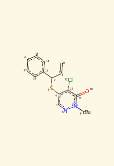 C=CC(Sc1cnn(C(C)(C)C)c(=O)c1Cl)c1ccccc1